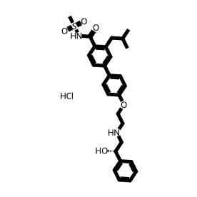 CC(C)Cc1cc(-c2ccc(OCCNC[C@@H](O)c3ccccc3)cc2)ccc1C(=O)NS(C)(=O)=O.Cl